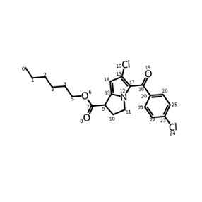 CCCCCCOC(=O)C1CCn2c1cc(Cl)c2C(=O)c1ccc(Cl)cc1